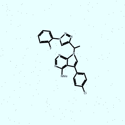 CNc1ncnc2c1c(-c1ccc(Cl)cc1)cn2C(C)c1cn(-c2ccccc2F)nn1